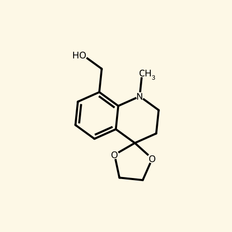 CN1CCC2(OCCO2)c2cccc(CO)c21